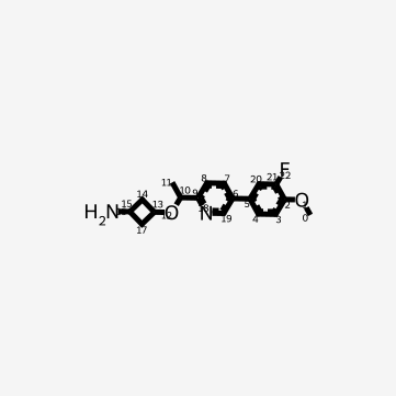 COc1ccc(-c2ccc(C(C)OC3CC(N)C3)nc2)cc1F